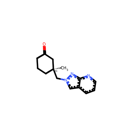 C[C@]1(Cn2cc3cccnc3n2)CCCC(=O)C1